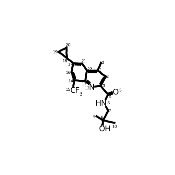 Cc1cc(C(=O)NCC(C)(C)O)nc2c(C(F)(F)F)cc(C3CC3)cc12